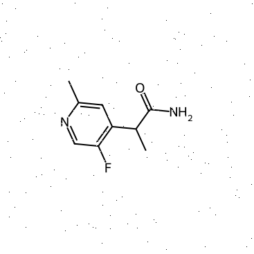 Cc1cc(C(C)C(N)=O)c(F)cn1